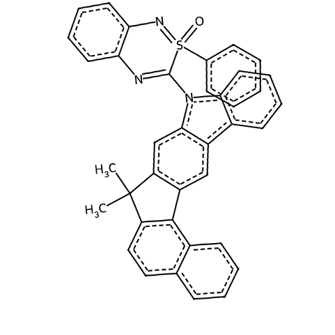 CC1(C)c2cc3c(cc2-c2c1ccc1ccccc21)c1ccccc1n3C1=Nc2ccccc2N=S1(=O)c1ccccc1